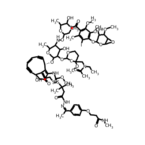 CCC(ONC1C(C)OC(O[C@H]2C#C/C=C\C#C[C@]3(O)CC(=O)C(NC(=O)OC)=C2/C3=C\CSSC(C)(C)CC(=O)NN=C(C)c2ccc(OCCC(=O)NC)cc2)C(OC2CC(CN(CC)C(C)=O)(OC)CCO2)C1O)OC(C)C(O)SC(=O)c1c(C)c(I)c(OC2OC3OC3C(OC)C2O)c(OC)c1OC